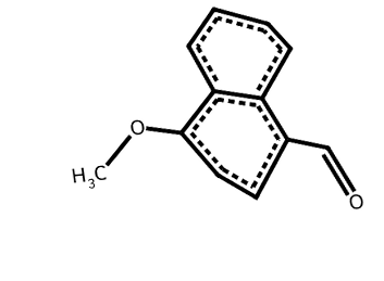 COc1ccc(C=O)c2ccccc12